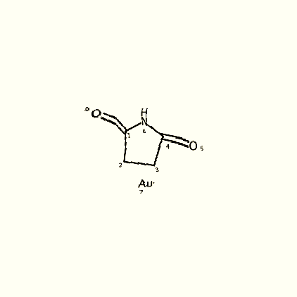 O=C1CCC(=O)N1.[Au]